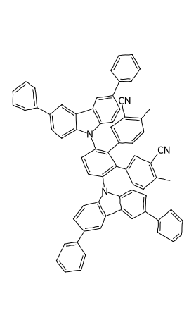 Cc1ccc(-c2c(-n3c4ccc(-c5ccccc5)cc4c4cc(-c5ccccc5)ccc43)ccc(-n3c4ccc(-c5ccccc5)cc4c4cc(-c5ccccc5)ccc43)c2-c2ccc(C)c(C#N)c2)cc1C#N